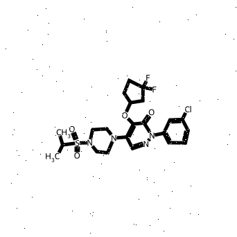 CC(C)S(=O)(=O)N1CCN(c2cnn(-c3cccc(Cl)c3)c(=O)c2OC2CCC(F)(F)C2)CC1